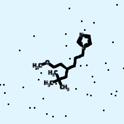 COCC[C@@H](CCCn1ccnc1)CC(C)(C)C